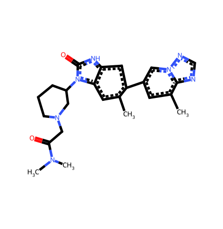 Cc1cc2c(cc1-c1cc(C)c3ncnn3c1)[nH]c(=O)n2C1CCCN(CC(=O)N(C)C)C1